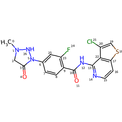 CN1CC(=O)N(c2ccc(C(=O)Nc3nccc4scc(Cl)c34)c(F)c2)N1